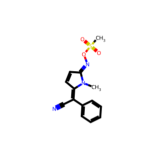 CN1C(=NOS(C)(=O)=O)C=CC1=C(C#N)c1ccccc1